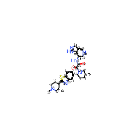 C[C@H]1CC[C@H](c2ccc3sc([C@@H]4CCN(C)C[C@H]4C)nc3c2)N(C(=O)C(=O)Nc2cncc3cn[nH]c23)C1